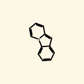 c1ccc2c(c1)cc1ccccn12